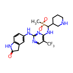 CS(=O)(=O)C(Nc1nc(Nc2ccc3c(c2)CC(=O)N3)ncc1C(F)(F)F)C1CCCNC1